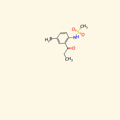 Bc1ccc(NS(C)(=O)=O)c(C(=O)CC)c1